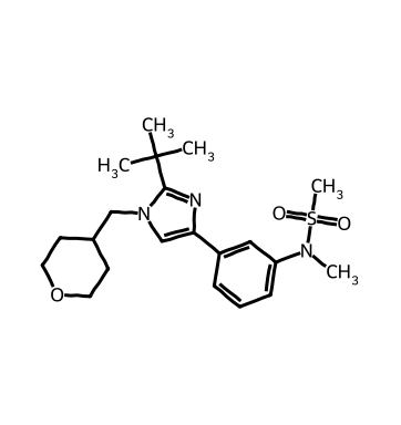 CN(c1cccc(-c2cn(CC3CCOCC3)c(C(C)(C)C)n2)c1)S(C)(=O)=O